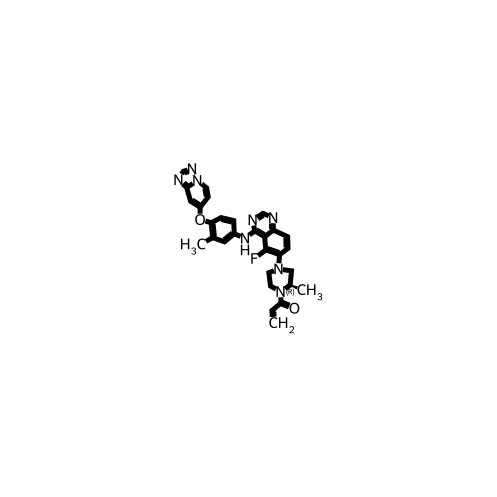 C=CC(=O)N1CCN(c2ccc3ncnc(Nc4ccc(Oc5ccn6ncnc6c5)c(C)c4)c3c2F)C[C@H]1C